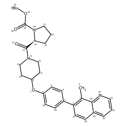 Cc1c(-c2ccc(OC3CCN(C(=O)[C@@H]4CCCN4C(=O)OC(C)(C)C)CC3)cc2)ccc2cccnc12